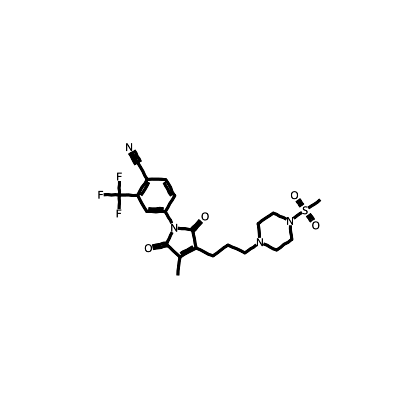 CC1=C(CCCN2CCN(S(C)(=O)=O)CC2)C(=O)N(c2ccc(C#N)c(C(F)(F)F)c2)C1=O